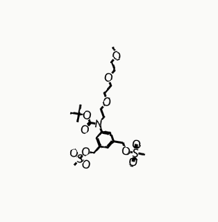 COCCOCCOCCN(C(=O)OC(C)(C)C)c1cc(COS(C)(=O)=O)cc(COS(C)(=O)=O)c1